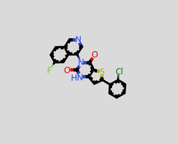 O=c1[nH]c2cc(-c3ccccc3Cl)sc2c(=O)n1-c1cncc2ccc(F)cc12